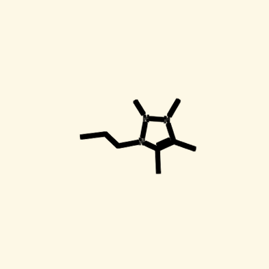 CCCN1C(C)=C(C)N(C)N1C